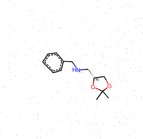 CC1(C)OC[C@@H](CNCc2ccccc2)O1